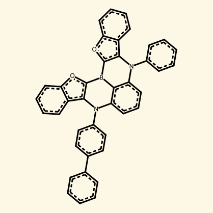 c1ccc(-c2ccc(N3c4cccc5c4B(c4oc6ccccc6c4N5c4ccccc4)c4oc5ccccc5c43)cc2)cc1